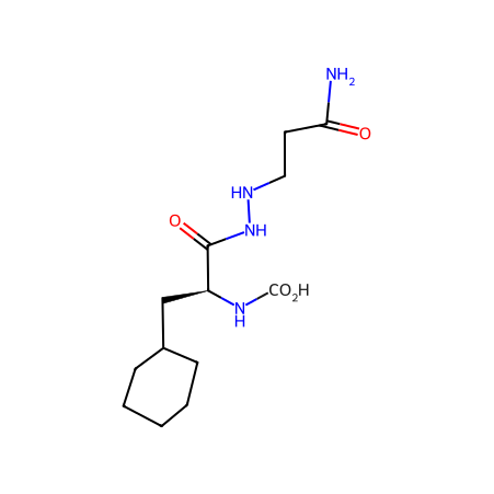 NC(=O)CCNNC(=O)[C@H](CC1CCCCC1)NC(=O)O